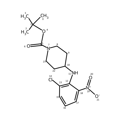 CC(C)(C)OC(=O)N1CCC(Nc2c(Cl)cccc2[N+](=O)[O-])CC1